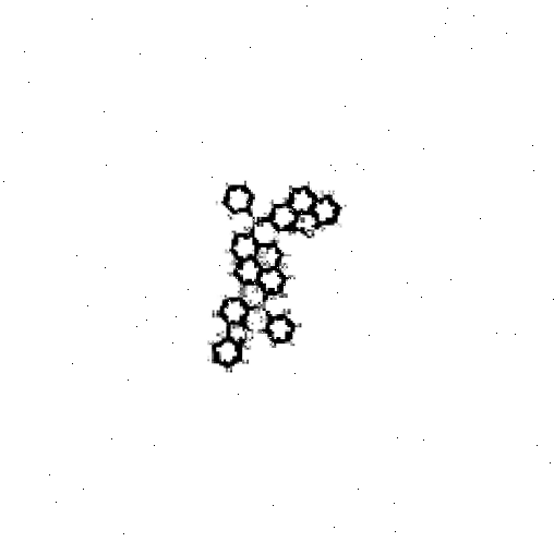 c1ccc(N(c2cc3ccc4cccc5oc(c2)c3c45)c2ccc3ccc4c(N(c5ccccc5)c5cccc6c5oc5ccccc56)ccc5ccc2c3c54)cc1